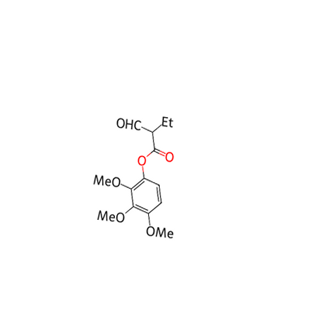 CCC(C=O)C(=O)Oc1ccc(OC)c(OC)c1OC